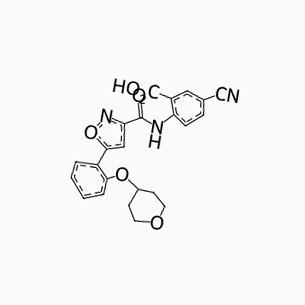 N#Cc1ccc(NC(=O)c2cc(-c3ccccc3OC3CCOCC3)on2)c(C(=O)O)c1